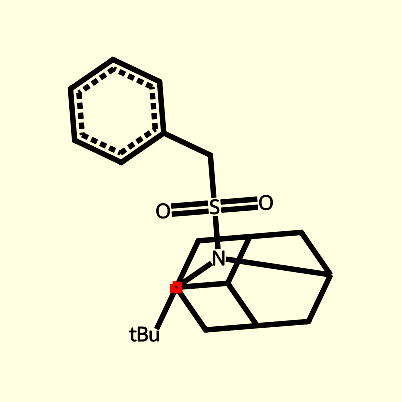 CC(C)(C)CC1C2CC3CC1CC(C2)N3S(=O)(=O)Cc1ccccc1